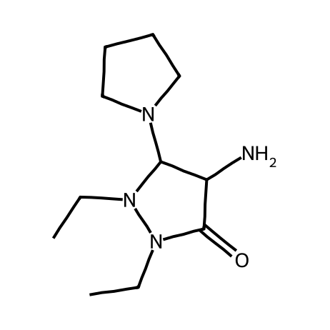 CCN1C(=O)C(N)C(N2CCCC2)N1CC